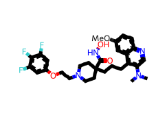 COc1ccc2ncc(N(C)C)c(CCCC3(C(=O)NO)CCN(CCOc4cc(F)c(F)c(F)c4)CC3)c2c1